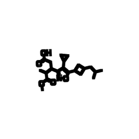 COC(=O)C(C)C(CC(=O)O)c1noc(C2CC(CC(C)C)C2)c1C1CC1